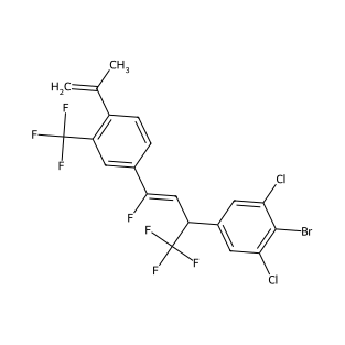 C=C(C)c1ccc(/C(F)=C/C(c2cc(Cl)c(Br)c(Cl)c2)C(F)(F)F)cc1C(F)(F)F